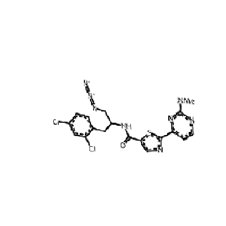 CNc1nccc(-c2ncc(C(=O)NC(CN=[N+]=[N-])Cc3ccc(Cl)cc3Cl)s2)n1